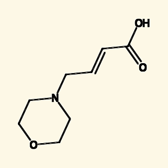 O=C(O)/C=C/CN1CCOCC1